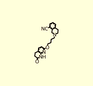 N#Cc1cccc2c1CN(CCCCOc1ccc3c(n1)NC(=O)CC3)CC2